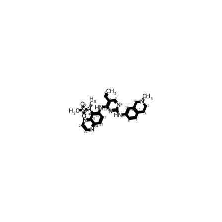 C=Cc1cnc(Nc2ccc3c(c2)CN(C)CC3)nc1Nc1ccc2nccnc2c1N(C)S(C)(=O)=O